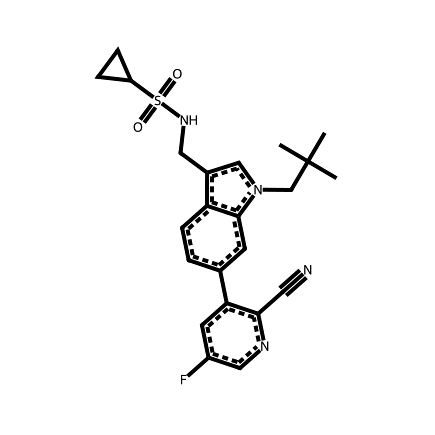 CC(C)(C)Cn1cc(CNS(=O)(=O)C2CC2)c2ccc(-c3cc(F)cnc3C#N)cc21